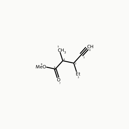 C#CC(CC)C(C)C(=O)OC